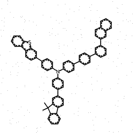 CC1(C)c2ccccc2-c2ccc(-c3ccc(N(c4ccc(-c5ccc(-c6cccc(-c7ccc8ccccc8c7)c6)cc5)cc4)c4ccc(-c5ccc6c(c5)sc5ccccc56)cc4)cc3)cc21